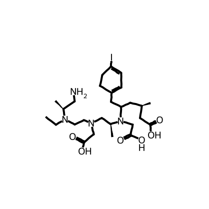 CCN(CCN(CC(=O)O)C[C@H](C)N(CC(=O)O)C(CC1=CC=C(I)CC1)C[C@@H](C)CC(=O)O)[C@@H](C)CN